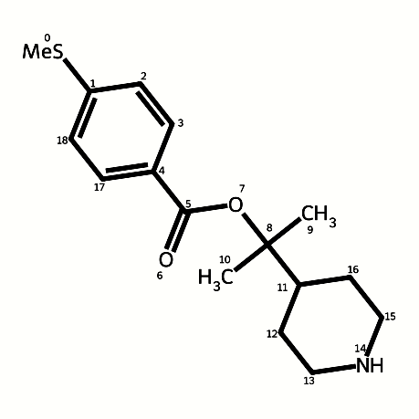 CSc1ccc(C(=O)OC(C)(C)C2CCNCC2)cc1